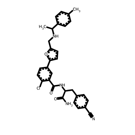 Cc1ccc(C(C)NCc2ccc(-c3ccc(Cl)c(C(=O)NC(Cc4ccc(C#N)cc4)C(N)=O)c3)o2)cc1